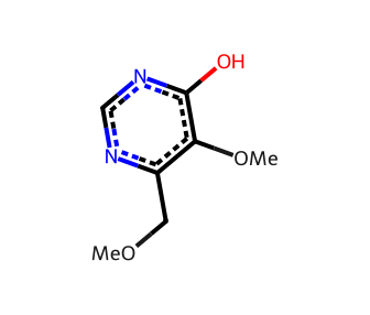 COCc1ncnc(O)c1OC